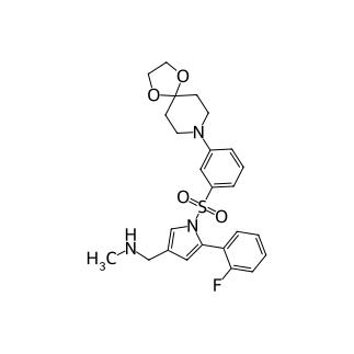 CNCc1cc(-c2ccccc2F)n(S(=O)(=O)c2cccc(N3CCC4(CC3)OCCO4)c2)c1